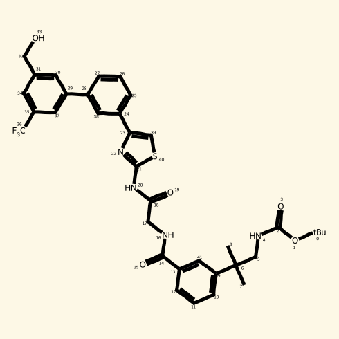 CC(C)(C)OC(=O)NCC(C)(C)c1cccc(C(=O)NCC(=O)Nc2nc(-c3cccc(-c4cc(CO)cc(C(F)(F)F)c4)c3)cs2)c1